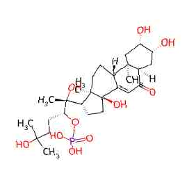 CC(C)(O)CC[C@@H](OP(=O)(O)O)[C@](C)(O)[C@H]1CC[C@@]2(O)C3=CC(=O)[C@@H]4C[C@@H](O)[C@@H](O)C[C@]4(C)[C@H]3CC[C@]12C